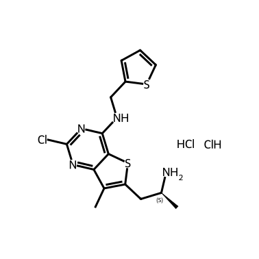 Cc1c(C[C@H](C)N)sc2c(NCc3cccs3)nc(Cl)nc12.Cl.Cl